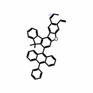 C=Cc1cc2oc3cc(-c4c5ccccc5c(-c5ccccc5)c5ccccc45)c4c(c3c2cc1/C=C\C)-c1ccccc1C4(C)C